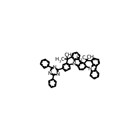 CC1(C)c2c(ccc3c2c2cccc4c2n3-c2ccc(-c3nc(-c5ccccc5)nc(-c5ccccc5)n3)cc2C4(C)C)-n2c3ccccc3c3cccc1c32